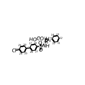 O=C(O)O.O=S(=O)(N[C@@H]1C[C@@H]1c1ccccc1)c1ccc(-c2ccc(Cl)cc2)cc1